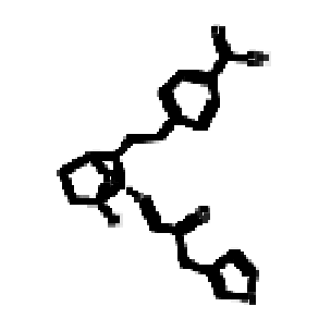 O=C(/C=C/[C@@H]1[C@@H]2CCC(O2)[C@H]1CCc1ccc(C(=O)O)cc1)Cc1ccsc1